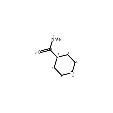 CNC(=O)N1CCOCC1